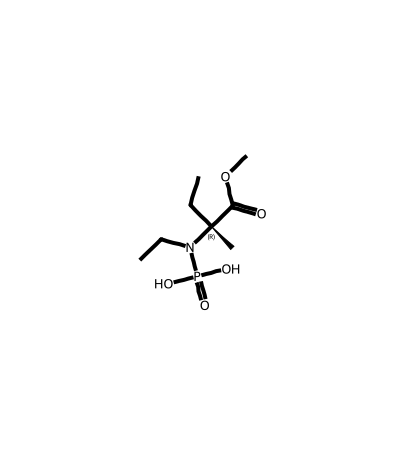 CCN([C@](C)(CC)C(=O)OC)P(=O)(O)O